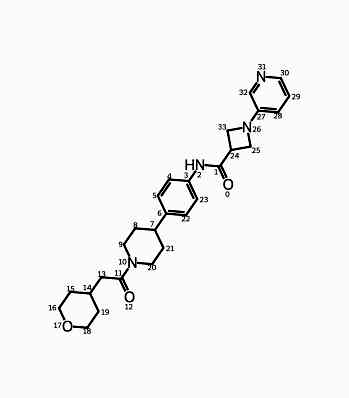 O=C(Nc1ccc(C2CCN(C(=O)CC3CCOCC3)CC2)cc1)C1CN(c2cccnc2)C1